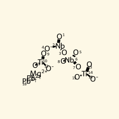 [Mg+2].[O]=[Nb](=[O])[O-].[O]=[Nb](=[O])[O-].[O]=[Ti]([O-])[O-].[O]=[Ti]([O-])[O-].[Pb+2].[Pb+2]